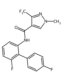 Cn1cc(C(=O)Nc2cccc(F)c2-c2ccc(F)cc2)c(C(F)(F)F)n1